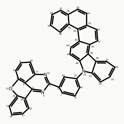 c1cc(-c2nc3c4c(cccc4n2)Oc2ccccc2-3)cc(-n2c3ccccc3c3c4ccc5ccc6ccccc6c5c4ccc32)c1